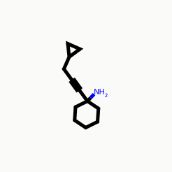 NC1(C#CCC2CC2)CCCCC1